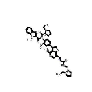 CCN1CCC[C@H]1CNC(=O)/C=C/c1cnc(N)c2c(-c3ccc(N(C(=O)c4cc5ccccc5n4C)C(N)[C@@H]4CCCN4CC)c(OC)c3)csc12